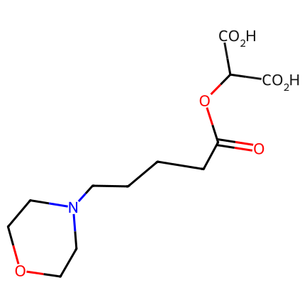 O=C(CCCCN1CCOCC1)OC(C(=O)O)C(=O)O